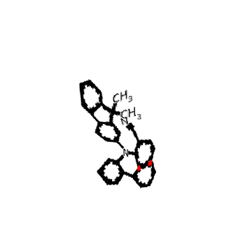 CC1(C)c2ccccc2-c2ccc(N(c3ccccc3C#N)c3ccccc3-c3ccccc3)cc21